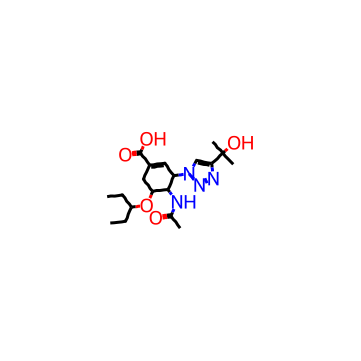 CCC(CC)OC1CC(C(=O)O)=CC(n2cc(C(C)(C)O)nn2)C1NC(C)=O